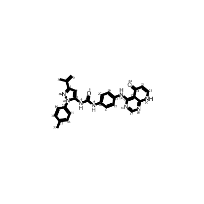 C=C(C)c1cc(NC(=O)Nc2ccc(Nc3ncnc4[nH]ccc(=O)c34)cc2)n(-c2ccc(C)cc2)n1